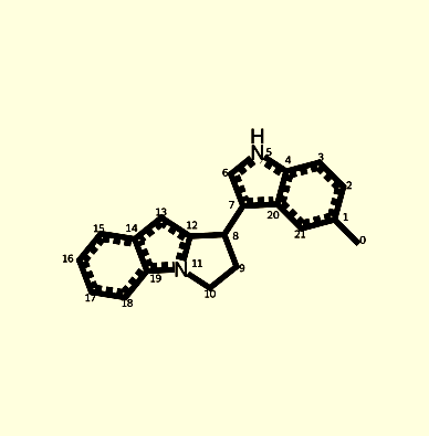 Cc1ccc2[nH]cc(C3CCn4c3cc3ccccc34)c2c1